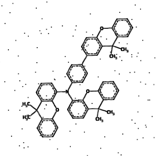 CC1(C)c2ccccc2Oc2ccc(-c3ccc(N(c4cccc5c4Oc4ccccc4C5(C)C)c4cccc5c4Oc4ccccc4C5(C)C)cc3)cc21